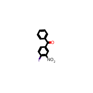 O=C(c1ccccc1)c1ccc(I)c([N+](=O)[O-])c1